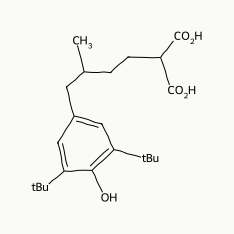 CC(CCC(C(=O)O)C(=O)O)Cc1cc(C(C)(C)C)c(O)c(C(C)(C)C)c1